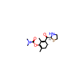 CC1=C(OC(=O)N(C)C)C(C)=C(C(=O)[C@H]2NCCS2)[CH]C1